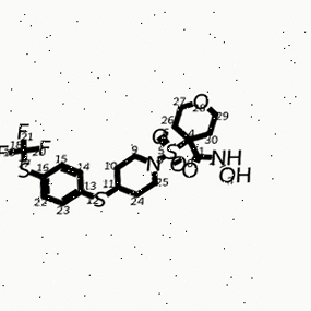 O=C(NO)C1(S(=O)(=O)N2CCC(Sc3ccc(SC(F)(F)F)cc3)CC2)CCOCC1